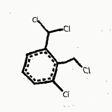 ClCc1c(Cl)cccc1C(Cl)Cl